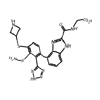 NSc1c(SC2CNC2)ccc(-c2cccc3[nH]c(C(=O)NCC(=O)O)nc23)c1-c1nn[nH]n1